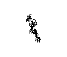 COc1cc(-c2cnc3cc(OCc4ccnn4C)ccn23)cnc1C(=O)NCC(F)(F)F